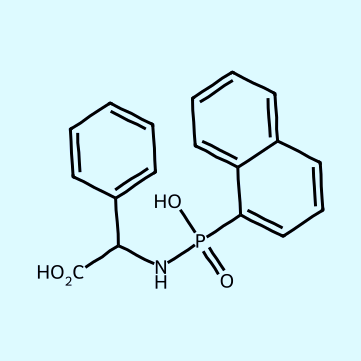 O=C(O)C(NP(=O)(O)c1cccc2ccccc12)c1ccccc1